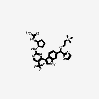 C[Si](C)(C)CCOC(c1ccc2c(-c3nc(N[C@H]4CCCC4NC(=O)O)ncc3C(F)(F)F)c[nH]c2c1)c1nccs1